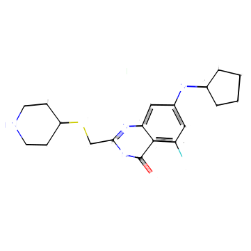 Cl.O=c1[nH]c(CSC2CCNCC2)nc2cc(NC3CCCC3)cc(F)c12